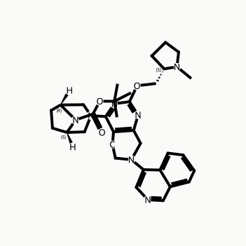 CN1CCC[C@H]1COc1nc2c(c(N3C[C@H]4CC[C@@H](C3)N4C(=O)OC(C)(C)C)n1)CCN(c1cncc3ccccc13)C2